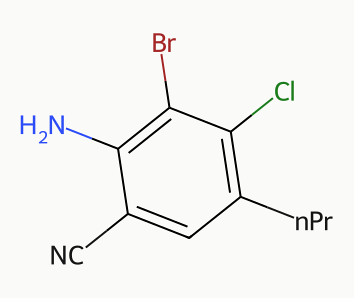 CCCc1cc(C#N)c(N)c(Br)c1Cl